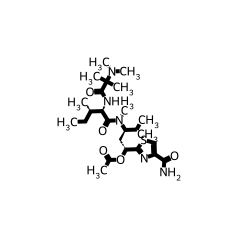 CC[C@H](C)[C@H](NC(=O)C(C)(C)N(C)C)C(=O)N(C)[C@H](C[C@@H](OC(C)=O)c1nc(C(N)=O)cs1)C(C)C